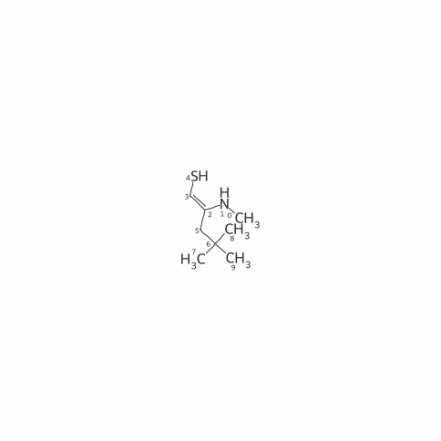 CN/C(=C\S)CC(C)(C)C